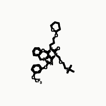 C[Si](C)(C)CCOCn1c(=O)n(CCCOC2CCCCO2)c(=O)c2c1nc(Oc1cccc(OC(F)(F)F)c1)n2Cc1ccccc1